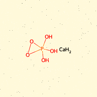 OP1(O)(O)OO1.[CaH2]